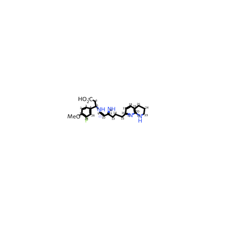 COc1ccc(C(CC(=O)O)N/C=C\C(=N)CCCc2ccc3c(n2)NCCC3)cc1F